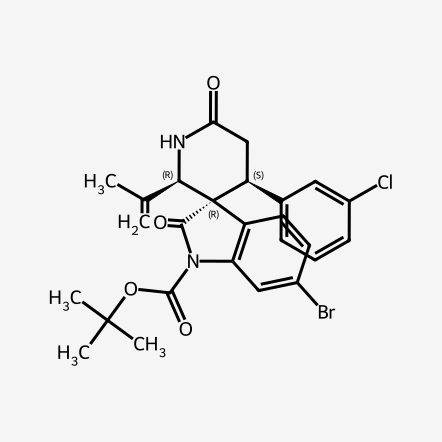 C=C(C)[C@H]1NC(=O)C[C@@H](c2cccc(Cl)c2)[C@]12C(=O)N(C(=O)OC(C)(C)C)c1cc(Br)ccc12